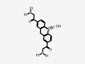 CCN(CC)CC(=O)c1ccc2c(c1)Cc1cc(C(=O)CN(CC)CC)ccc1S2.Cl.Cl.O